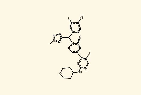 Cn1cc(C(c2ccc(Cl)c(F)c2)n2ccc(-c3nc(NC4CCOCC4)ncc3F)cc2=O)cn1